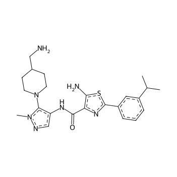 CC(C)c1cccc(-c2nc(C(=O)Nc3cnn(C)c3N3CCC(CN)CC3)c(N)s2)c1